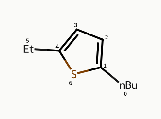 CCCCc1ccc(CC)s1